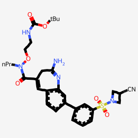 CCCN(OCCNC(=O)OC(C)(C)C)C(=O)C1=Cc2ccc(-c3cccc(S(=O)(=O)N4CC(C#N)C4)c3)cc2N=C(N)C1